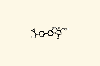 O=C1O[C@@H](CO)[C@@H]2COc3cc(-c4ccc(C(O)C5CC5)nc4)ccc3N12